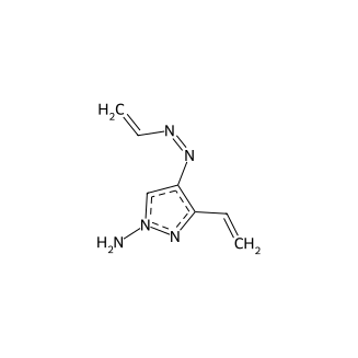 C=C/N=N\c1cn(N)nc1C=C